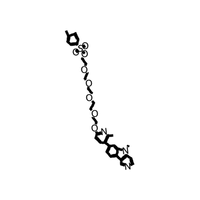 Cc1ccc(S(=O)(=O)OCCOCCOCCOCCOCCOc2ccc(-c3ccc4c5cnccc5n(C)c4c3)c(C)n2)cc1